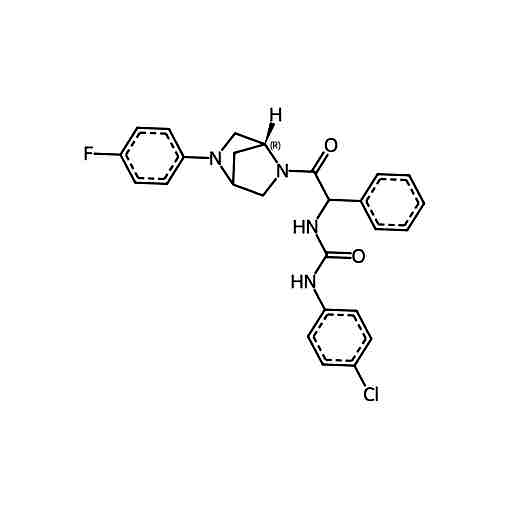 O=C(Nc1ccc(Cl)cc1)NC(C(=O)N1CC2C[C@@H]1CN2c1ccc(F)cc1)c1ccccc1